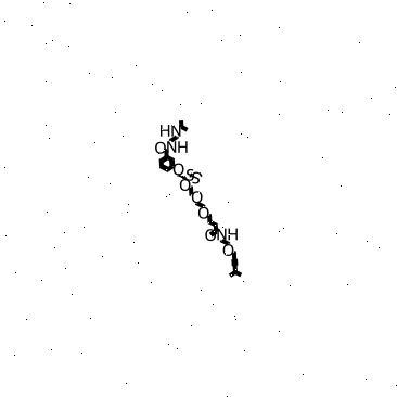 CSS[C@H](COc1cccc(C(=O)NCCNC(C)C)c1)OCCOCCOCCCC(=O)NCCOCC#CC(C)C